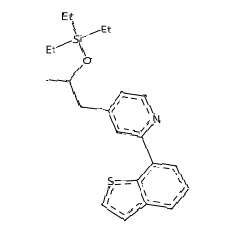 CC[Si](CC)(CC)OC(C)Cc1ccnc(-c2cccc3ccsc23)c1